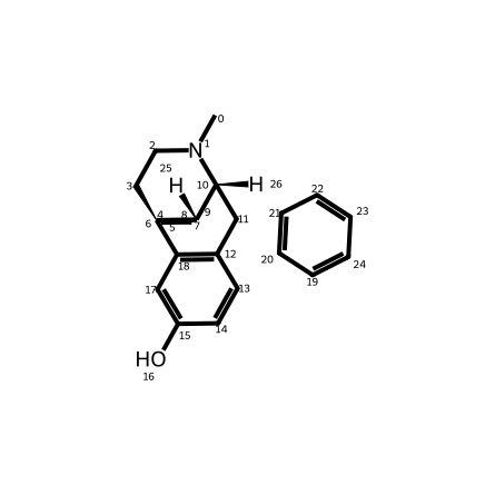 CN1CC[C@]23CCCC[C@H]2[C@H]1Cc1ccc(O)cc13.c1ccccc1